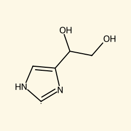 OCC(O)c1c[nH][c]n1